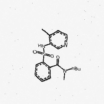 CCCCN(C)C(=O)c1ccccc1S(=O)(=O)Nc1cnccc1C